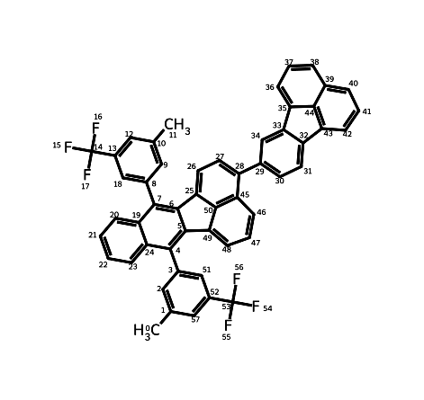 Cc1cc(-c2c3c(c(-c4cc(C)cc(C(F)(F)F)c4)c4ccccc24)-c2ccc(-c4ccc5c(c4)-c4cccc6cccc-5c46)c4cccc-3c24)cc(C(F)(F)F)c1